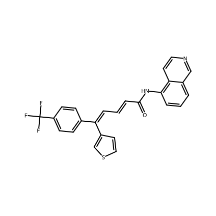 O=C(C=CC=C(c1ccc(C(F)(F)F)cc1)c1ccsc1)Nc1cccc2cnccc12